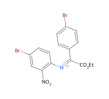 CCOC(=O)/C(=N/c1ccc(Br)cc1[N+](=O)[O-])c1ccc(Br)cc1